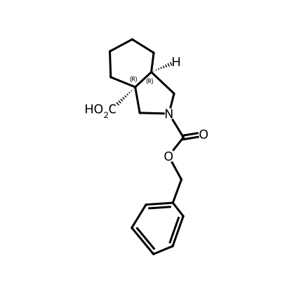 O=C(OCc1ccccc1)N1C[C@@H]2CCCC[C@]2(C(=O)O)C1